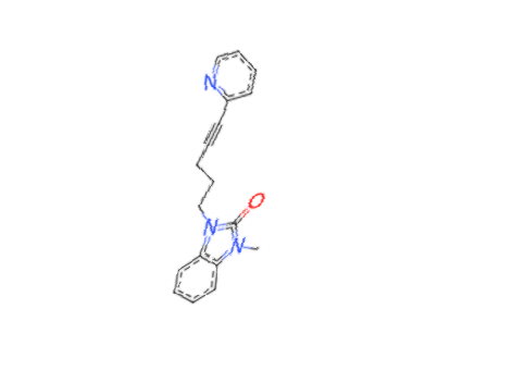 Cn1c(=O)n(CCCC#Cc2ccccn2)c2ccccc21